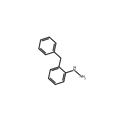 NNc1ccccc1Cc1ccccc1